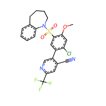 COc1cc(Cl)c(-c2cnc(C(F)(F)F)cc2C#N)cc1S(=O)(=O)N1CCCCc2ccccc21